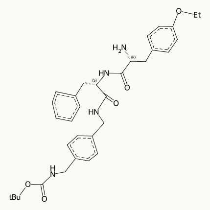 CCOc1ccc(C[C@@H](N)C(=O)N[C@@H](Cc2ccccc2)C(=O)NCc2ccc(CNC(=O)OC(C)(C)C)cc2)cc1